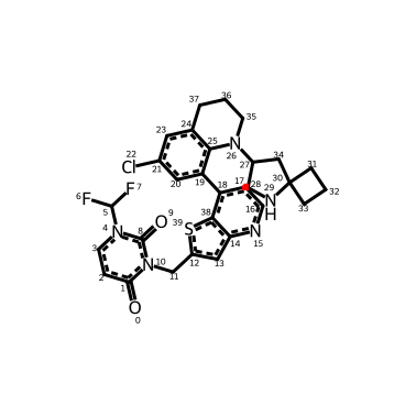 O=c1ccn(C(F)F)c(=O)n1Cc1cc2nccc(-c3cc(Cl)cc4c3N(C3CNC5(CCC5)C3)CCC4)c2s1